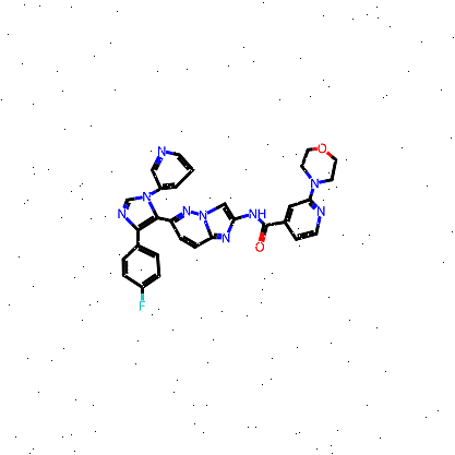 O=C(Nc1cn2nc(-c3c(-c4ccc(F)cc4)ncn3-c3cccnc3)ccc2n1)c1ccnc(N2CCOCC2)c1